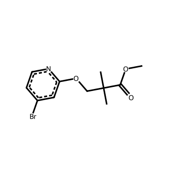 COC(=O)C(C)(C)COc1cc(Br)ccn1